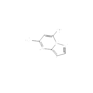 Cc1cc(O)n2nccc2n1